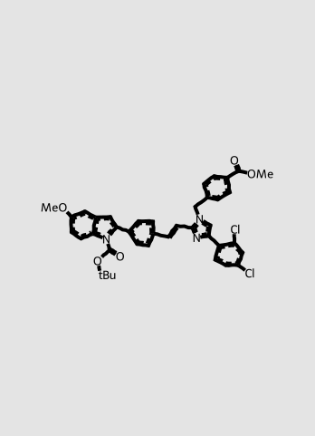 COC(=O)c1ccc(Cn2cc(-c3ccc(Cl)cc3Cl)nc2/C=C/c2ccc(-c3cc4cc(OC)ccc4n3C(=O)OC(C)(C)C)cc2)cc1